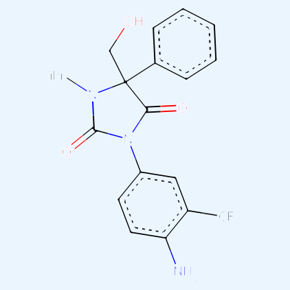 CC(C)N1C(=O)N(c2ccc(N)c(C(F)(F)F)c2)C(=O)C1(CO)c1ccccc1